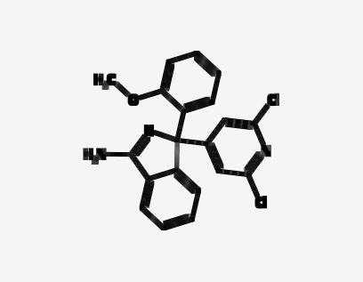 COc1ccccc1C1(c2cc(Cl)nc(Cl)c2)N=C(N)c2ccccc21